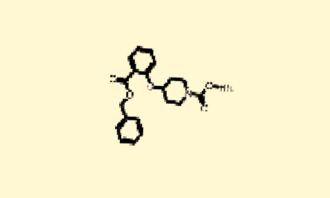 CC(C)(C)OC(=O)N1CCC(Oc2ccccc2C(=O)OCc2ccccc2)CC1